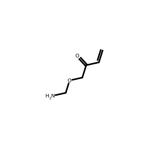 C=CC(=O)COCN